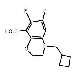 O=C(O)c1c(F)c(Cl)cc2c1OCCN2CC1CCC1